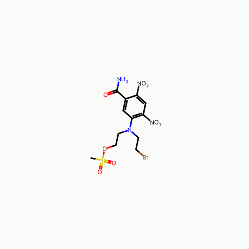 CS(=O)(=O)OCCN(CCBr)c1cc(C(N)=O)c([N+](=O)[O-])cc1[N+](=O)[O-]